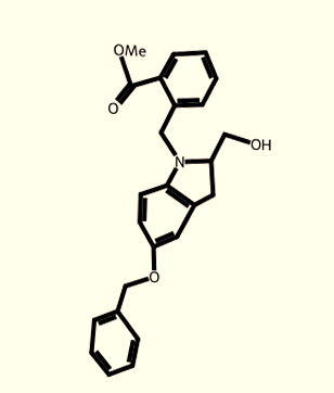 COC(=O)c1ccccc1CN1c2ccc(OCc3ccccc3)cc2CC1CO